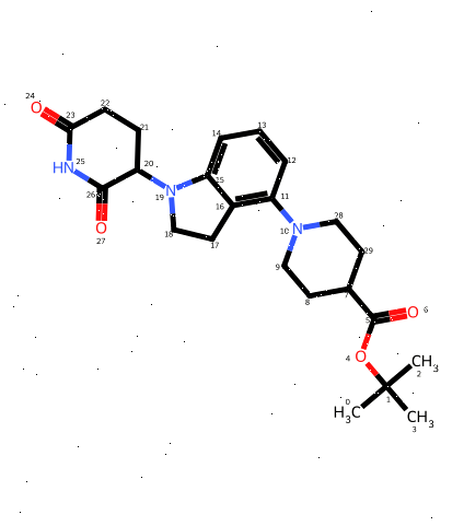 CC(C)(C)OC(=O)C1CCN(c2cccc3c2CCN3C2CCC(=O)NC2=O)CC1